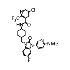 CNc1ccc(-n2c(=O)n(CC3CCC(NC(=O)c4cc(Cl)cnc4C(F)(F)F)CC3)c3ccc(F)cc32)cn1